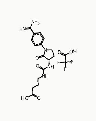 N=C(N)c1ccc(N2CC[C@@H](NC(=O)NCCCC(=O)O)C2=O)cc1.O=C(O)C(F)(F)F